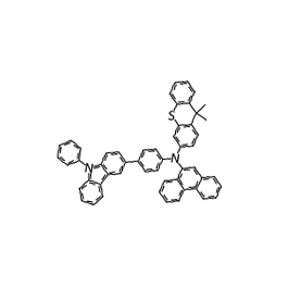 CC1(C)c2ccccc2Sc2cc(N(c3ccc(-c4ccc5c(c4)c4ccccc4n5-c4ccccc4)cc3)c3cc4ccccc4c4ccccc34)ccc21